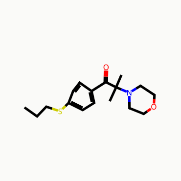 CCCSc1ccc(C(=O)C(C)(C)N2CCOCC2)cc1